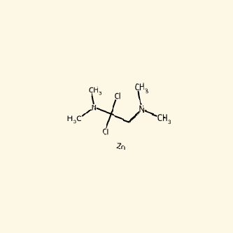 CN(C)CC(Cl)(Cl)N(C)C.[Zn]